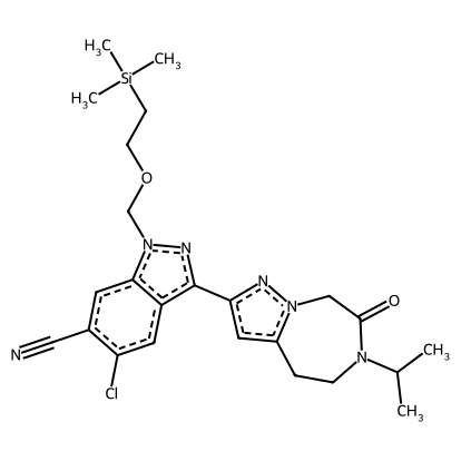 CC(C)N1CCc2cc(-c3nn(COCC[Si](C)(C)C)c4cc(C#N)c(Cl)cc34)nn2CC1=O